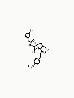 O=C(Cc1ccc(Br)o1)NC1C(=O)N2C(C(=O)OCc3ccc([N+](=O)[O-])cc3)=C(CBr)CS[C@@H]12